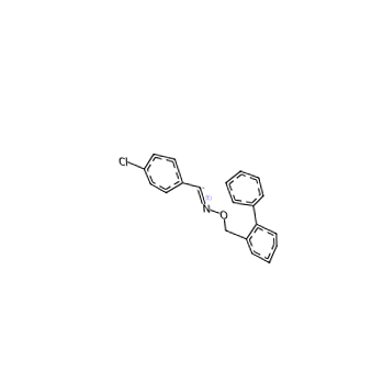 Clc1ccc(/[C]=N/OCc2ccccc2-c2ccccc2)cc1